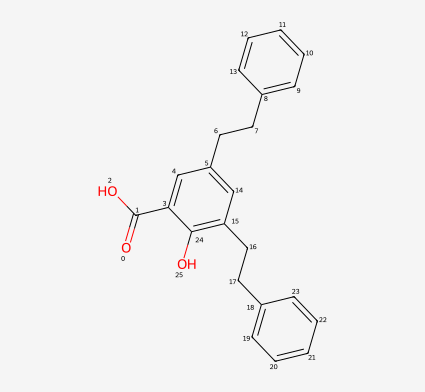 O=C(O)c1cc(CCc2ccccc2)cc(CCc2ccccc2)c1O